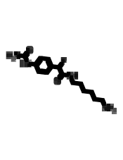 NCCCCCCNC(=O)C(F)c1ccc(NC(N)=O)cc1